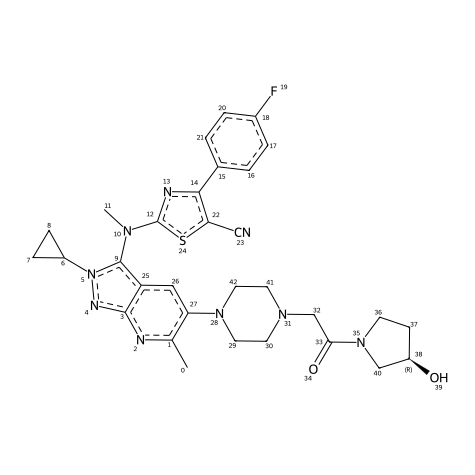 Cc1nc2nn(C3CC3)c(N(C)c3nc(-c4ccc(F)cc4)c(C#N)s3)c2cc1N1CCN(CC(=O)N2CC[C@@H](O)C2)CC1